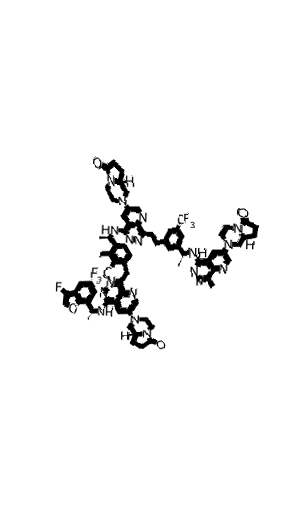 Cc1c([C@@H](C)Nc2nnc(CCc3cc([C@@H](C)Nc4nnc(C)c5ncc(N6CCN7C(=O)CC[C@@H]7C6)cc45)cc(C(F)(F)F)c3)c3ncc(N4CCN5C(=O)CC[C@@H]5C4)cc23)ccc(Cc2nnc(N[C@H](C)c3cccc4c(F)coc34)c3cc(N4CCN5C(=O)CC[C@@H]5C4)cnc23)c1C(F)(F)F